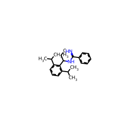 CCC(NC(=N)c1ccccc1)c1c(C(C)C)cccc1C(C)C